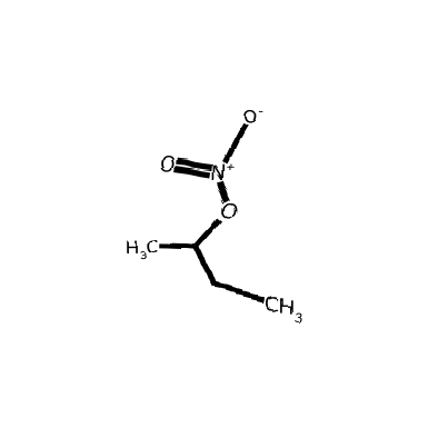 CCC(C)O[N+](=O)[O-]